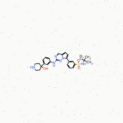 CC(C)(C)NS(=O)(=O)c1cccc(-c2ccc3cnc(Nc4cccc(C5(O)CCNCC5)c4)nn23)c1